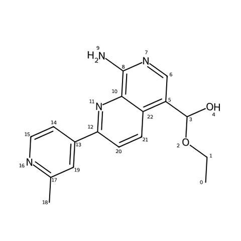 CCOC(O)c1cnc(N)c2nc(-c3ccnc(C)c3)ccc12